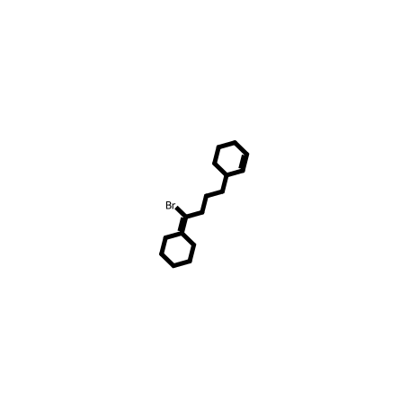 BrC(CCCC1C=CCCC1)=C1CCCCC1